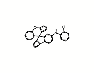 Clc1ccccc1Nc1ccc2c(c1)C1(c3ccccc3Oc3ccccc31)c1ccccc1-2